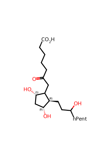 CCCCCC(O)CC[C@@H]1C(CC(=O)CCCCC(=O)O)[C@@H](O)C[C@H]1O